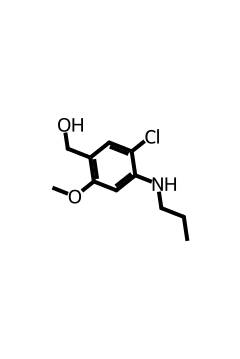 CCCNc1cc(OC)c(CO)cc1Cl